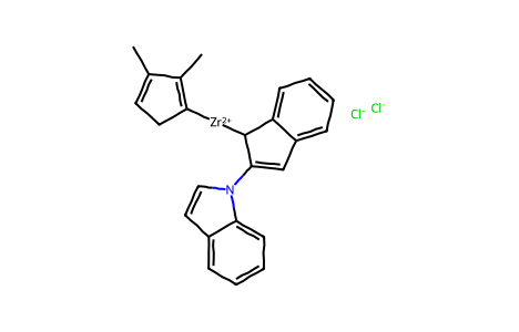 CC1=CC[C]([Zr+2][CH]2C(n3ccc4ccccc43)=Cc3ccccc32)=C1C.[Cl-].[Cl-]